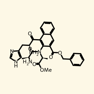 COC(=O)[C@H](C)N(C(=O)[C@H](C)N)c1c(C(=O)OCc2ccccc2)cc2ccccc2c1C(=O)[C@@H](N)Cc1c[nH]cn1